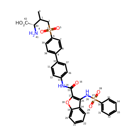 CC(CS(=O)(=O)c1ccc(-c2ccc(NC(=O)c3oc4ccccc4c3NS(=O)(=O)c3ccccc3)cc2)cc1)[C@H](N)C(=O)O